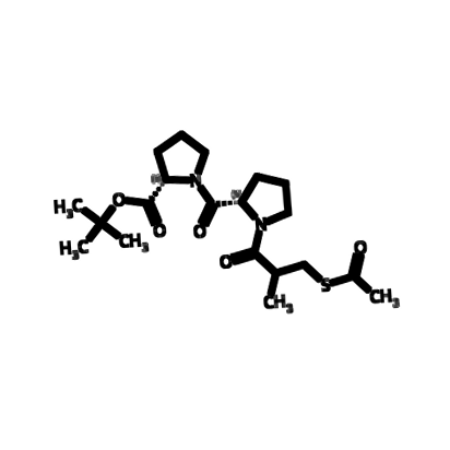 CC(=O)SCC(C)C(=O)N1CCC[C@H]1C(=O)N1CCC[C@H]1C(=O)OC(C)(C)C